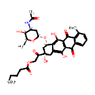 COc1cccc2c1C(=O)c1c(O)c3c(c(O)c1C2=O)C[C@@](O)(C(=O)COC(=O)CCCC(=O)O)C[C@@H]3O[C@H]1C[C@H](NC(=O)C(F)(F)F)[C@H](O)[C@H](C)O1